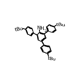 CC(C)(C)c1ccc(-c2cc(-c3ccc(C(C)(C)C)cc3)c(N)c(-c3ccc(C(C)(C)C)cc3)c2)cc1